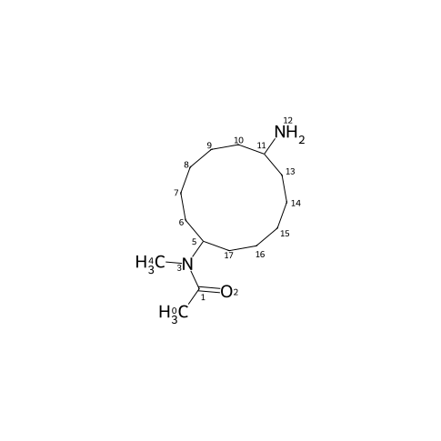 CC(=O)N(C)C1CCCCCC(N)CCCCC1